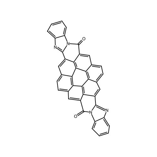 O=c1c2cc3ccc4cc5c6c(cc7ccc8cc(c2c2c3c4c6c7c82)c2nc3ccccc3n12)c(=O)n1c2ccccc2nc51